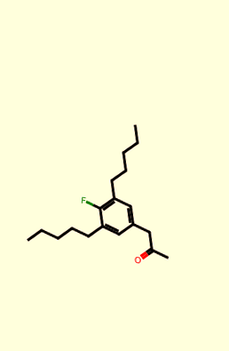 CCCCCc1cc(CC(C)=O)cc(CCCCC)c1F